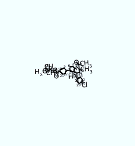 CC(=O)N1c2ccc(-c3ccc(C(=O)OCC[N+](C)(C)C)cc3)cc2[C@H](Nc2ccc(Cl)cc2)C[C@@H]1C